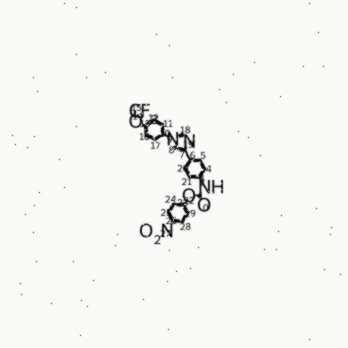 O=C(Nc1ccc(-c2cn(-c3ccc(OC(F)(F)F)cc3)cn2)cc1)Oc1ccc([N+](=O)[O-])cc1